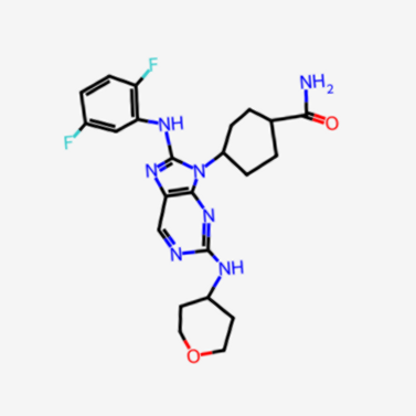 NC(=O)C1CCC(n2c(Nc3cc(F)ccc3F)nc3cnc(NC4CCOCC4)nc32)CC1